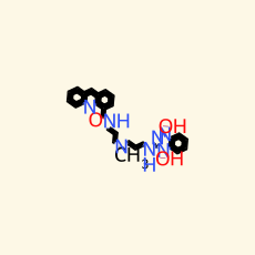 CN(CCCNC(=O)c1cccc2cc3ccccc3nc12)CCCNC1=NN(O)c2ccccc2N1O